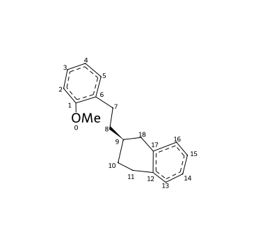 COc1ccccc1CC[C@@H]1CCc2ccccc2C1